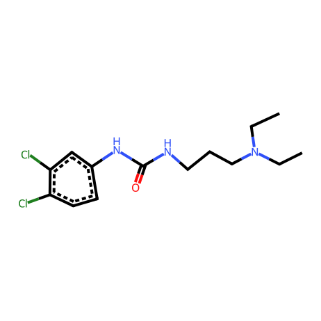 CCN(CC)CCCNC(=O)Nc1ccc(Cl)c(Cl)c1